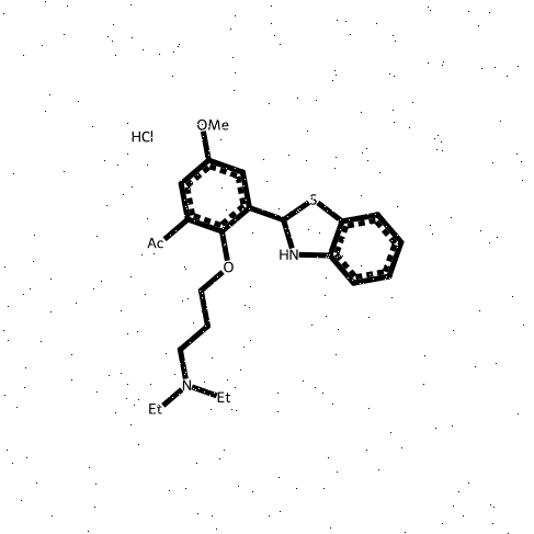 CCN(CC)CCCOc1c(C(C)=O)cc(OC)cc1C1Nc2ccccc2S1.Cl